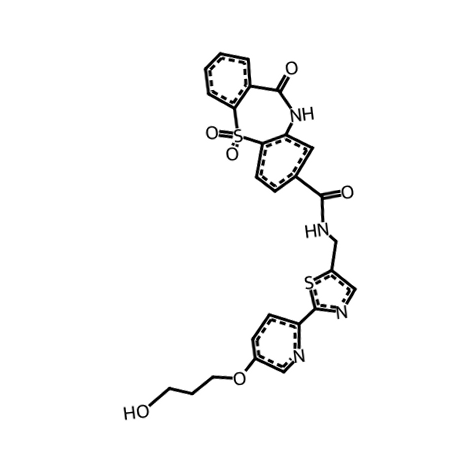 O=C(NCc1cnc(-c2ccc(OCCCO)cn2)s1)c1ccc2c(c1)NC(=O)c1ccccc1S2(=O)=O